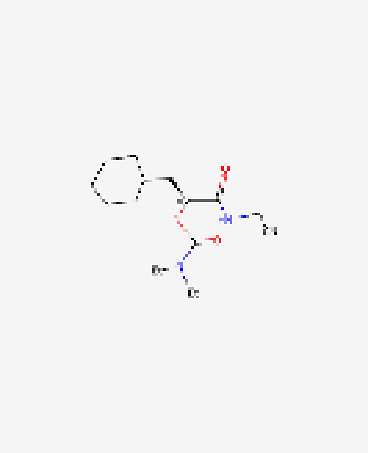 CCN(CC)C(=O)O[C@@H](CC1CCCCC1)C(=O)NCC#N